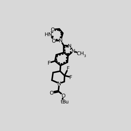 Cn1nc(-n2cco[nH]o2)c2cc(F)c(C3CCN(C(=O)OC(C)(C)C)CC3(F)F)cc21